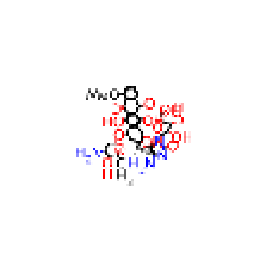 COc1cccc2c1C(=O)c1c(O)c3c(c(O)c1C2=O)C[C@@](O)(C(C)=O)C[C@@H]3O[C@H]1C[C@H](N)[C@H](O)[C@H](C)O1.Nc1ccn([C@@H]2O[C@H](CO)[C@@H](O)[C@@H]2O)c(=O)n1